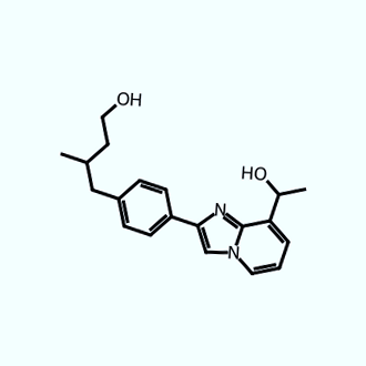 CC(CCO)Cc1ccc(-c2cn3cccc(C(C)O)c3n2)cc1